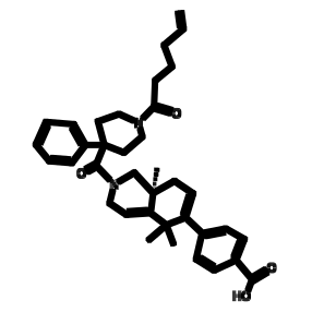 C=CCCCC(=O)N1CCC(C(=O)N2CC=C3C(C)(C)C(c4ccc(C(=O)O)cc4)=CC[C@]3(C)C2)(c2ccccc2)CC1